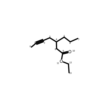 CC#CCC(CCC)CC(=O)OCC